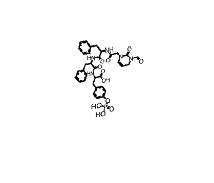 O=CN1CC=CN(CC(=O)NC(Cc2ccccc2)C(=O)NC(Cc2ccccc2)C(=O)NC(Cc2ccc(OP(=O)(O)O)cc2)C(=O)O)C1=O